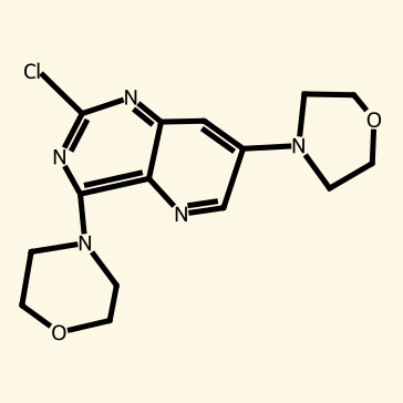 Clc1nc(N2CCOCC2)c2ncc(N3CCOCC3)cc2n1